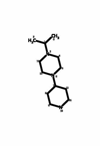 CC(C)N1CCN(C2CC[N]CC2)CC1